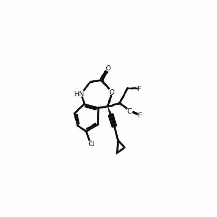 O=C1CNc2ccc(Cl)cc2[C@@](C#CC2CC2)(C(CF)CF)O1